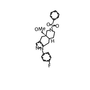 COC[C@]12Cc3cnn(-c4ccc(F)cc4)c3C[C@@H]1CCN(S(=O)(=O)c1ccccc1)C2